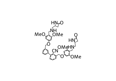 COc1cc(OCc2cccc(-c3cccc(COc4cc(OC)c(CNCC5CC(=O)N5)c(OC)c4)c3C#N)c2)cc(OC)c1CNCC1CC(=O)N1